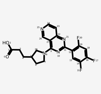 O=C(O)CCC1CCN(c2nc(-c3cc(F)c(F)cc3F)nc3ccncc23)C1